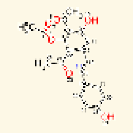 CC(=O)Oc1c(C(C)=O)c(O)cc(/C=C/c2ccc(O)cc2)c1C(C)=O